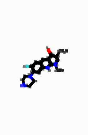 CNn1cc(C(=O)O)c(=O)c2cc3cc(F)c(N4CCNCC4)cc3nc21